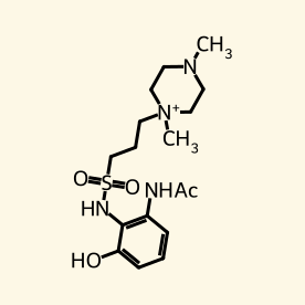 CC(=O)Nc1cccc(O)c1NS(=O)(=O)CCC[N+]1(C)CCN(C)CC1